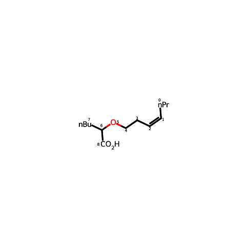 CCC/C=C\CCOC(CCCC)C(=O)O